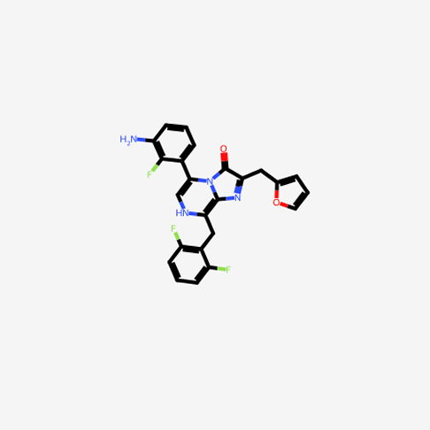 Nc1cccc(-c2c[nH]c(Cc3c(F)cccc3F)c3nc(Cc4ccco4)c(=O)n2-3)c1F